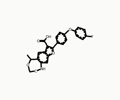 CC1OCCNc2cc3oc(-c4ccc(Oc5ccc(F)cc5)cc4)c(C(=O)O)c3cc21